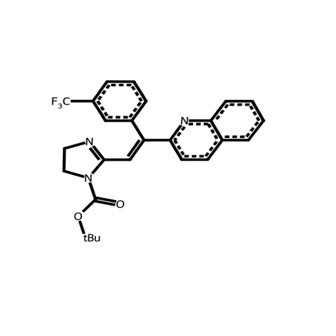 CC(C)(C)OC(=O)N1CCN=C1/C=C(\c1cccc(C(F)(F)F)c1)c1ccc2ccccc2n1